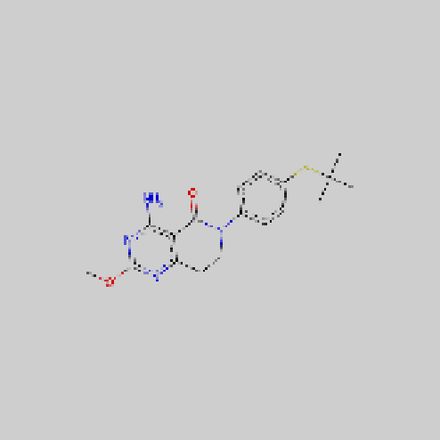 COc1nc(N)c2c(n1)CCN(c1ccc(SC(C)(C)C)cc1)C2=O